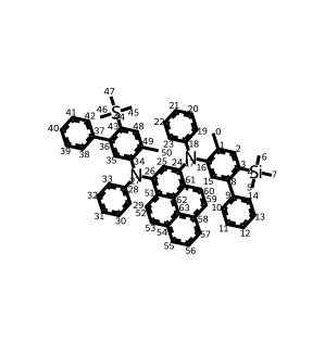 Cc1cc([Si](C)(C)C)c(-c2ccccc2)cc1N(c1ccccc1)c1cc(N(c2ccccc2)c2cc(-c3ccccc3)c(S(C)(C)C)cc2C)c2ccc3cccc4ccc1c2c43